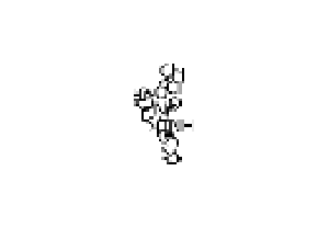 O=C(Cc1cccs1)N[C@@H]1C(=O)N2C(C(=O)OCC(Cl)(Cl)Cl)=C(CBr)CS[C@H]12